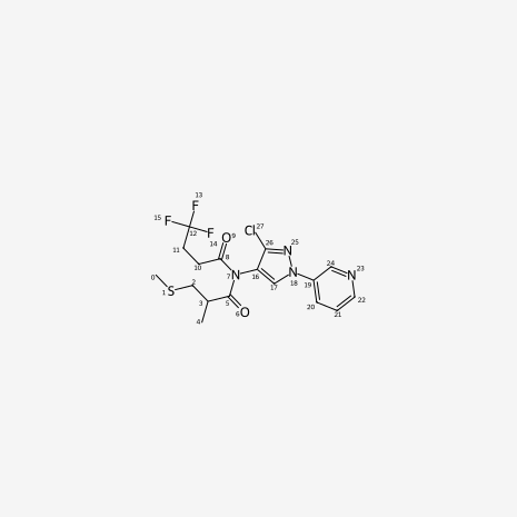 CSCC(C)C(=O)N(C(=O)CCC(F)(F)F)c1cn(-c2cccnc2)nc1Cl